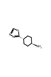 N[C@H]1CC[C@H](c2nncs2)CC1